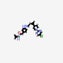 O=C(Cc1ccc(NCC[C@@H]2CC2C2CCN(c3ncc(Cl)cn3)CC2)cc1)NC1CC1